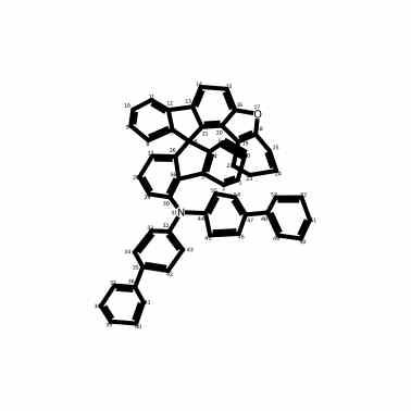 c1ccc2c(c#1)C1(c3ccccc3-c3ccc4oc5c(c4c31)CCC=C5)c1cccc(N(c3ccc(-c4ccccc4)cc3)c3ccc(-c4ccccc4)cc3)c1-2